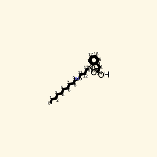 CCCCCCCCC/C=C/CCCNc1ccccc1CC(=O)O